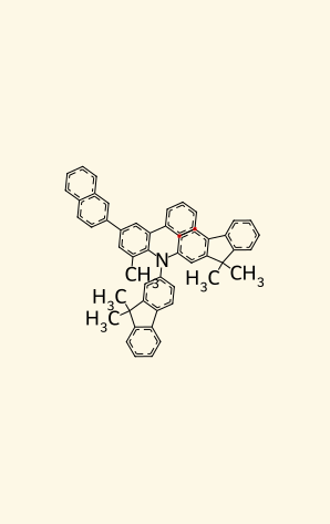 Cc1cc(-c2ccc3ccccc3c2)cc(-c2ccccc2)c1N(c1ccc2c(c1)C(C)(C)c1ccccc1-2)c1ccc2c(c1)C(C)(C)c1ccccc1-2